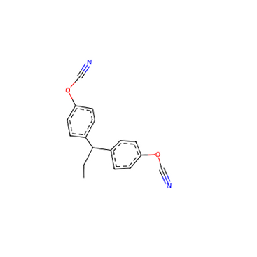 CCC(c1ccc(OC#N)cc1)c1ccc(OC#N)cc1